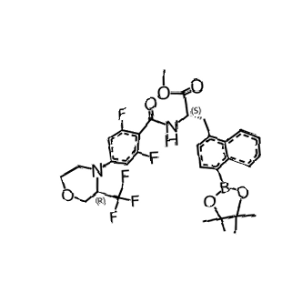 COC(=O)[C@H](Cc1ccc(B2OC(C)(C)C(C)(C)O2)c2ccccc12)NC(=O)c1c(F)cc(N2CCOC[C@@H]2C(F)(F)F)cc1F